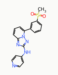 CS(=O)(=O)c1cccc(-c2cccc3nc(Nc4ccncc4)nn23)c1